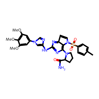 COc1cc(-n2cnc(Nc3nc(N4CCCC4C(N)=O)c4c(ccn4S(=O)(=O)c4ccc(C)cc4)n3)c2)cc(OC)c1OC